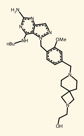 CCCCNc1nc(N)nc2cnn(Cc3ccc(CN4CCC5(CC4)CN(CCO)C5)cc3OC)c12